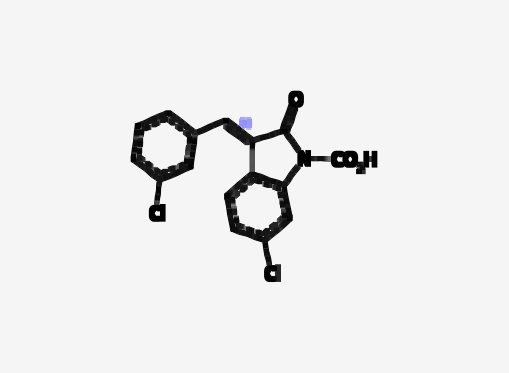 O=C(O)N1C(=O)/C(=C/c2cccc(Cl)c2)c2ccc(Cl)cc21